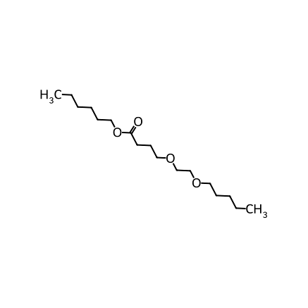 CCCCCCOC(=O)CCCOCCOCCCCC